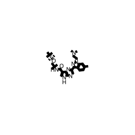 Cc1ccc2c(-c3cnc4[nH]cc(C(=O)NC(C)(C)CO[Si](C)(C)C(C)(C)C)c4n3)nn(CCN(C)C)c2c1